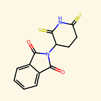 O=C1c2ccccc2C(=O)N1C1CCC(=S)NC1=S